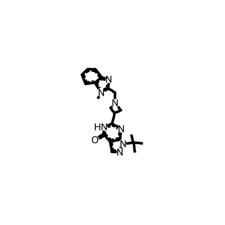 Cn1c(CN2CC(c3nc4c(cnn4C(C)(C)C)c(=O)[nH]3)C2)nc2ccccc21